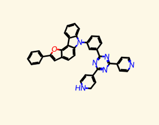 C1=CC(c2nc(-c3ccncc3)nc(-c3cccc(-n4c5ccccc5c5c6oc(-c7ccccc7)cc6ccc54)c3)n2)=CCN1